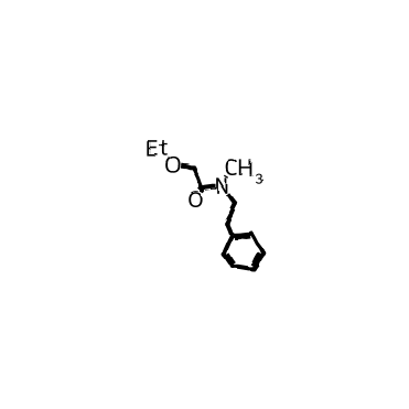 [CH2]COCC(=O)N(C)CCc1ccccc1